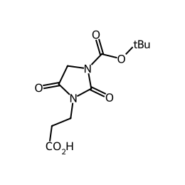 CC(C)(C)OC(=O)N1CC(=O)N(CCC(=O)O)C1=O